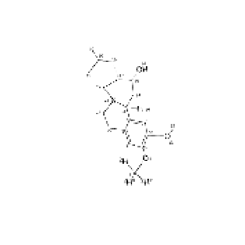 [2H]C([2H])([2H])Oc1cc2c(cc1OC)[C@@H]1C[C@@H](O)[C@@H](CC(C)C)CN1CC2